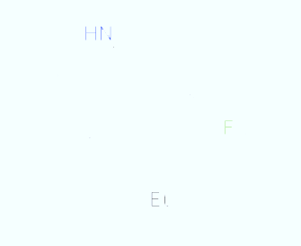 CC[C@@H]1CCNC[C@@H]1F